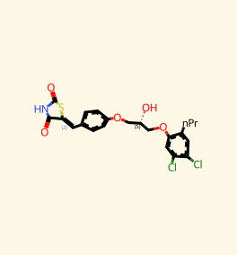 CCCc1cc(Cl)c(Cl)cc1OC[C@@H](O)COc1ccc(/C=C2\SC(=O)NC2=O)cc1